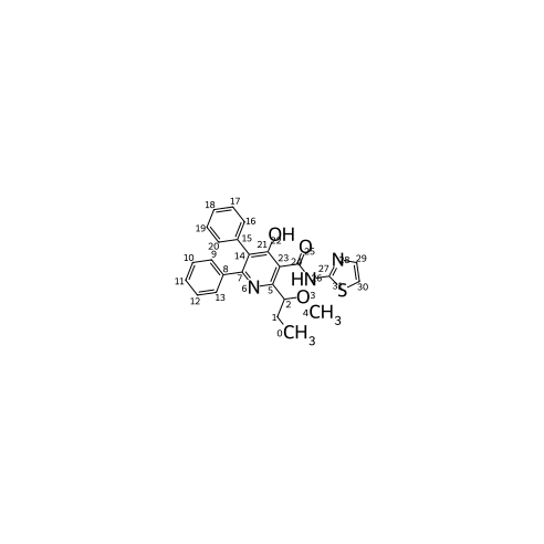 CCC(OC)c1nc(-c2ccccc2)c(-c2ccccc2)c(O)c1C(=O)Nc1nccs1